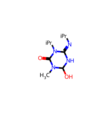 CC(C)/N=C1/NC(O)N(C)C(=O)N1C(C)C